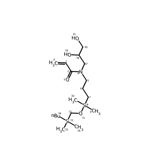 C=CC(=O)N(CCC[Si](C)(C)OC[Si](C)(C)CCCC)CC(O)CO